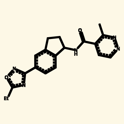 CCc1nc(-c2ccc3c(c2)CCC3NC(=O)c2ccnnc2C)no1